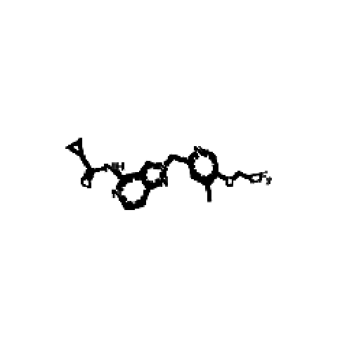 Cc1cc(Cn2cc3c(NC(=O)C4CC4)nccc3n2)ncc1OCC(F)(F)F